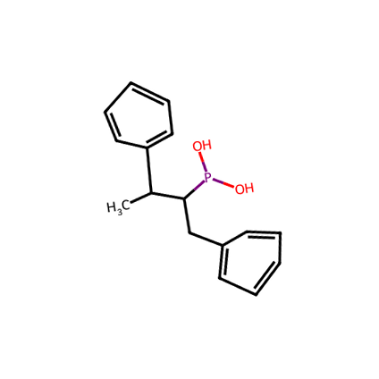 CC(c1ccccc1)C(Cc1ccccc1)P(O)O